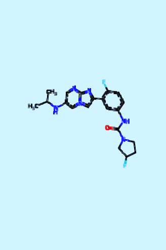 CC(C)Nc1cnc2nc(-c3cc(NC(=O)N4CC[C@@H](F)C4)ccc3F)cn2c1